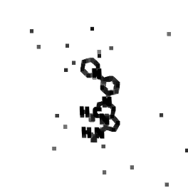 CCN(C[C@H]1CCC(N)=N1)c1cccc(N2CCCCC2)c1